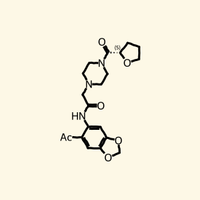 CC(=O)c1cc2c(cc1NC(=O)CN1CCN(C(=O)[C@@H]3CCCO3)CC1)OCO2